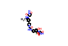 Cc1nn(C2CCC(=O)NC2=O)c2ccc(C3CCN(CC(=O)Nc4ccc5c(F)c(N6CC(=O)NS6(=O)=O)c(O)cc5c4)CC3)cc12